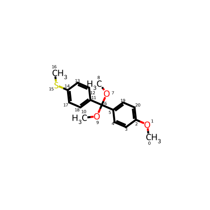 COc1ccc(C(OC)(OC)c2ccc(SC)cc2)cc1